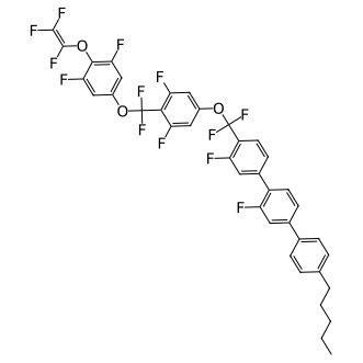 CCCCCc1ccc(-c2ccc(-c3ccc(C(F)(F)Oc4cc(F)c(C(F)(F)Oc5cc(F)c(OC(F)=C(F)F)c(F)c5)c(F)c4)c(F)c3)c(F)c2)cc1